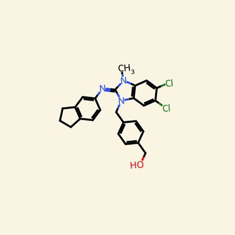 Cn1/c(=N/c2ccc3c(c2)CCC3)n(Cc2ccc(CO)cc2)c2cc(Cl)c(Cl)cc21